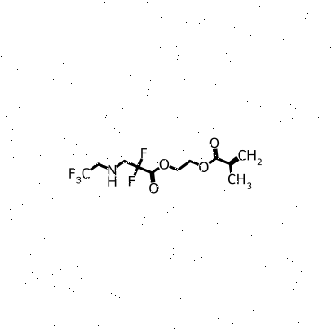 C=C(C)C(=O)OCCOC(=O)C(F)(F)CNCC(F)(F)F